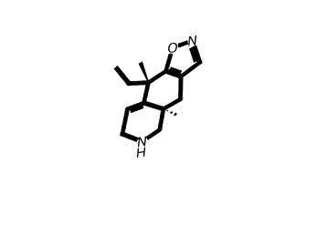 CC[C@@]1(C)C2=CCNC[C@]2(C)Cc2cnoc21